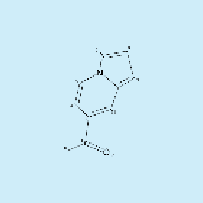 CC(=O)c1ccn2nccc2c1